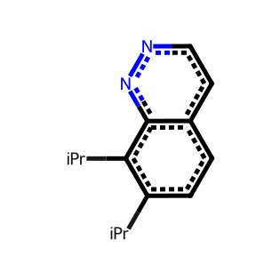 CC(C)c1ccc2ccnnc2c1C(C)C